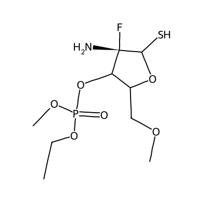 CCOP(=O)(OC)OC1C(COC)OC(S)[C@@]1(N)F